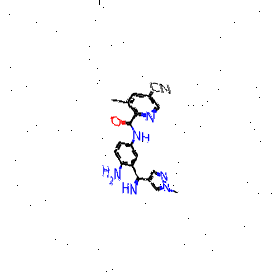 Cc1cc(C#N)cnc1C(=O)Nc1ccc(N)c(C(=N)c2cnn(C)c2)c1